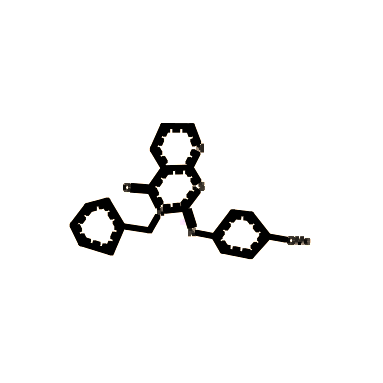 COc1ccc(/N=c2\sc3ncccc3c(=O)n2Cc2ccccc2)cc1